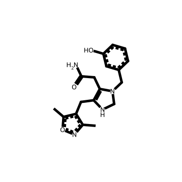 Cc1noc(C)c1CC1=C(CC(N)=O)N(Cc2cccc(O)c2)CN1